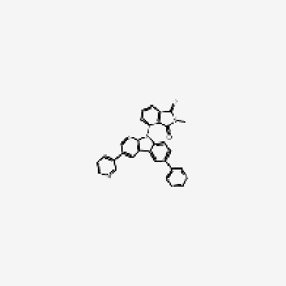 CN1C(=O)c2cccc(-n3c4ccc(-c5cccnc5)cc4c4cc(-c5cccnc5)ccc43)c2C1=O